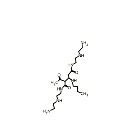 CCCCNC(CC(=O)NCCNCCN)C(C(C)=O)C(=O)NCCNCCN